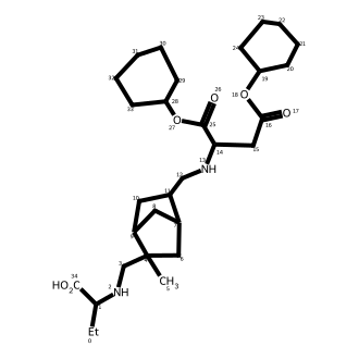 CCC(NCC1(C)CC2CC1CC2CNC(CC(=O)OC1CCCCC1)C(=O)OC1CCCCC1)C(=O)O